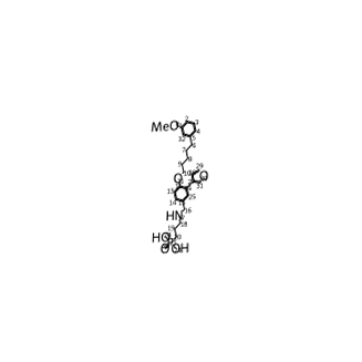 COc1cccc(CCCCCOc2ccc(CNCCCP(=O)(O)O)cc2-c2ccoc2)c1